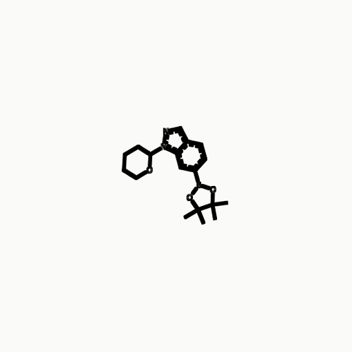 CC1(C)OB(c2ccc3cnn(C4CCCCO4)c3c2)OC1(C)C